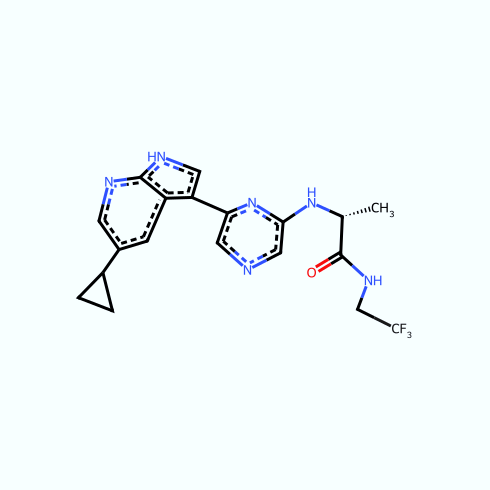 C[C@@H](Nc1cncc(-c2c[nH]c3ncc(C4CC4)cc23)n1)C(=O)NCC(F)(F)F